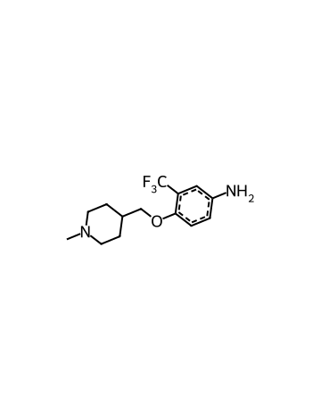 CN1CCC(COc2ccc(N)cc2C(F)(F)F)CC1